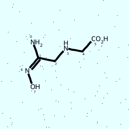 N/C(CNCC(=O)O)=N/O